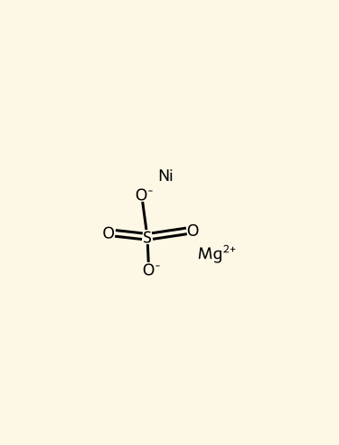 O=S(=O)([O-])[O-].[Mg+2].[Ni]